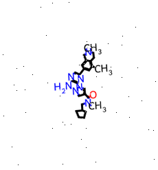 Cc1cc(-c2cnc(N)c(-n3cc(C(=O)N(C)CC4CCCC4)cn3)n2)cc2c1CCN(C)C2